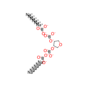 C1CCOC1.[Na+].[Na+].[Na+].[Na+].[Na+].[Na+].[Na+].[Na+].[Na+].[Na+].[Na+].[Na+].[O-]B([O-])[O-].[O-]B([O-])[O-].[O-]B([O-])[O-].[O-]B([O-])[O-]